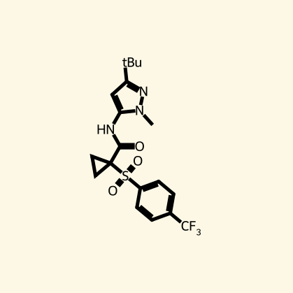 Cn1nc(C(C)(C)C)cc1NC(=O)C1(S(=O)(=O)c2ccc(C(F)(F)F)cc2)CC1